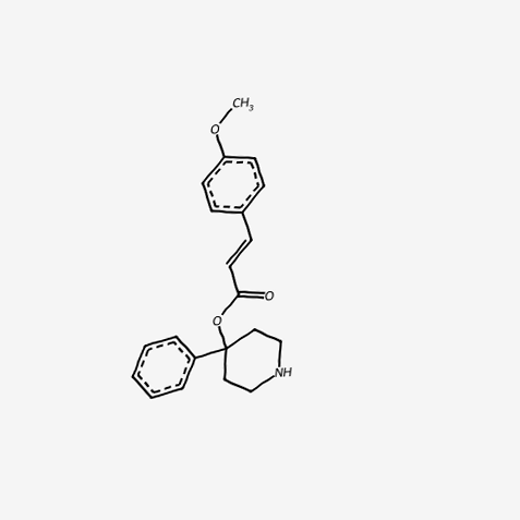 COc1ccc(/C=C/C(=O)OC2(c3ccccc3)CCNCC2)cc1